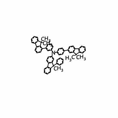 CC1(C)c2ccccc2-c2ccc(-c3ccc(N(c4cccc(-c5cccc6c5C(C)(C)c5ccccc5-6)c4)c4ccc5c(c4)C(C)(c4ccccc4)c4ccccc4-5)cc3)cc21